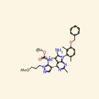 COCCCn1ncc(-c2nc(C)nc3c2c(C(=O)O)c(N)n3-c2c(C)ccc(OCc3ccccc3)c2C)c1NC(=O)OC(C)(C)C